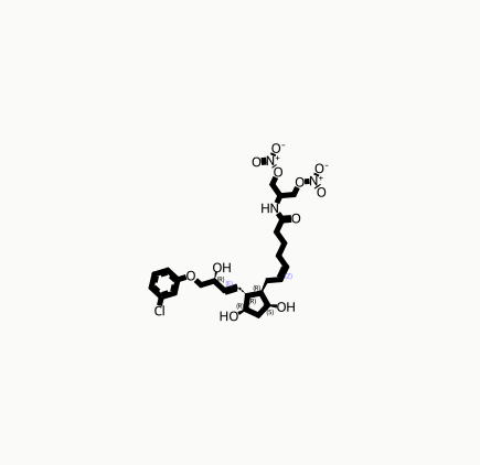 O=C(CCC/C=C\C[C@@H]1[C@@H](/C=C/[C@@H](O)COc2cccc(Cl)c2)[C@H](O)C[C@@H]1O)NC(CO[N+](=O)[O-])CO[N+](=O)[O-]